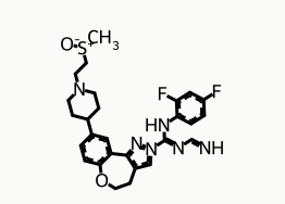 C[S+]([O-])CCN1CCC(c2ccc3c(c2)-c2nn(/C(=N/C=N)Nc4ccc(F)cc4F)cc2CCO3)CC1